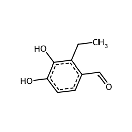 CCc1c(C=O)ccc(O)c1O